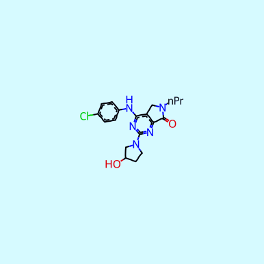 CCCN1Cc2c(Nc3ccc(Cl)cc3)nc(N3CCC(O)C3)nc2C1=O